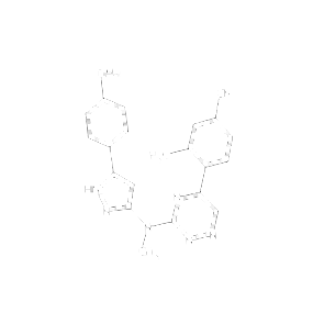 COc1ccc(-c2cc(N(C)c3nncc(-c4ccc(C#N)cc4C)n3)n[nH]2)cc1